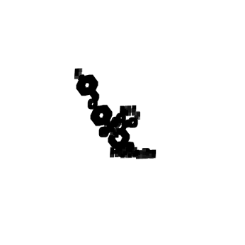 CCCCNC[C@]1(O)CCN(S(=O)(=O)c2ccc(OCc3ccc(F)cc3)cc2)[C@@H](C(=O)ON)C1